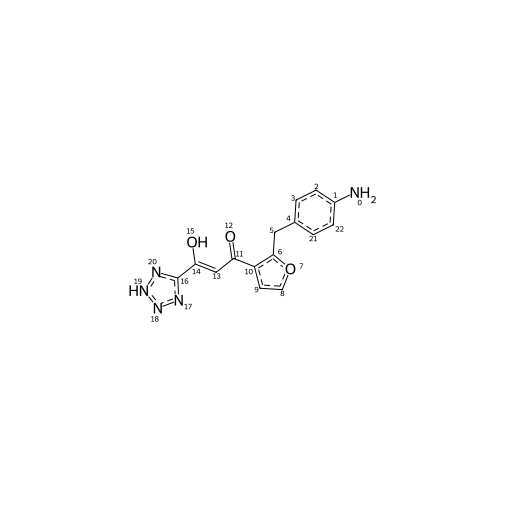 Nc1ccc(Cc2occc2C(=O)C=C(O)c2nn[nH]n2)cc1